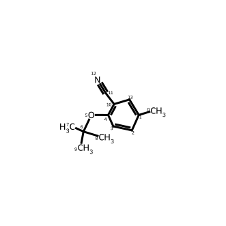 Cc1ccc(OC(C)(C)C)c(C#N)c1